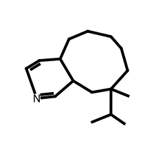 CC(C)C1(C)CCCCCC2C=CN=CC2C1